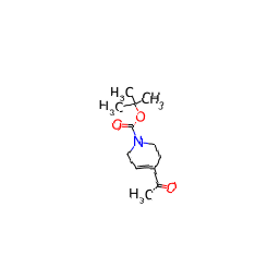 CC(=O)C1=CCN(C(=O)OC(C)(C)C)CC1